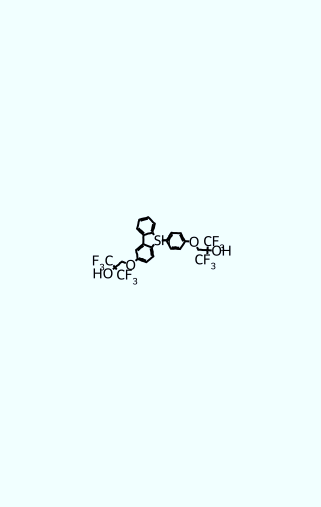 OC(COc1ccc([SH]2c3ccccc3-c3cc(OCC(O)(C(F)(F)F)C(F)(F)F)ccc32)cc1)(C(F)(F)F)C(F)(F)F